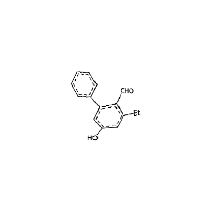 CCc1cc(O)cc(-c2ccccc2)c1C=O